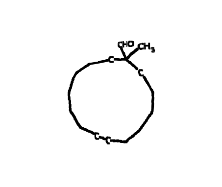 CC1(C=O)CCCCCCCCCCCCC1